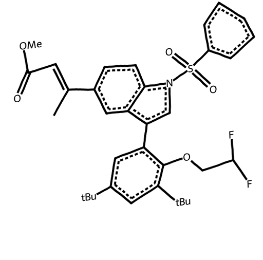 COC(=O)/C=C(\C)c1ccc2c(c1)c(-c1cc(C(C)(C)C)cc(C(C)(C)C)c1OCC(F)F)cn2S(=O)(=O)c1ccccc1